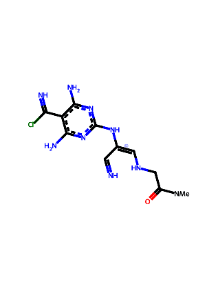 CNC(=O)CN/C=C(\C=N)Nc1nc(N)c(C(=N)Cl)c(N)n1